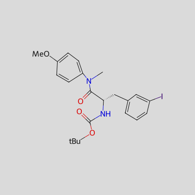 COc1ccc(N(C)C(=O)[C@H](Cc2cccc(I)c2)NC(=O)OC(C)(C)C)cc1